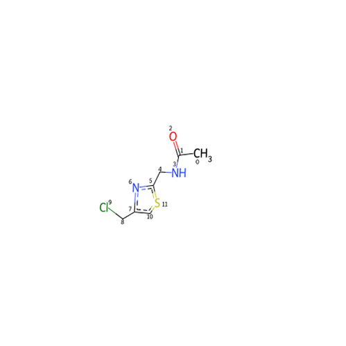 CC(=O)NCc1nc(CCl)cs1